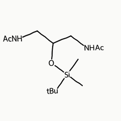 CC(=O)NCC(CNC(C)=O)O[Si](C)(C)C(C)(C)C